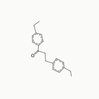 CCc1ccc(CCC(=O)c2ccc(CC)cc2)cc1